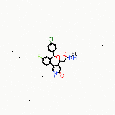 CCNC(=O)CC1OC(c2ccc(Cl)cc2)c2cc(F)ccc2-c2cn(C)c(=O)cc21